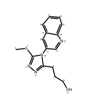 CSc1nnc(CCCO)n1-c1cnc2ccccc2c1